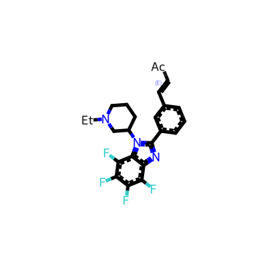 CCN1CCCC(n2c(-c3cccc(/C=C/C(C)=O)c3)nc3c(F)c(F)c(F)c(F)c32)C1